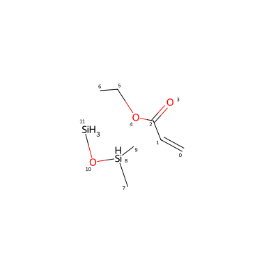 C=CC(=O)OCC.C[SiH](C)O[SiH3]